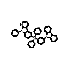 c1ccc(-n2c3ccc([Si](c4ccccc4)(c4ccccc4)c4cccc(-n5c6ccccc6c6ccccc65)c4)cc3c3cccnc32)cc1